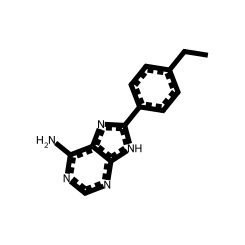 CCc1ccc(-c2nc3c(N)ncnc3[nH]2)cc1